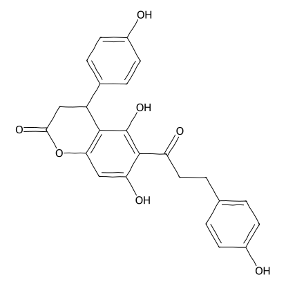 O=C1CC(c2ccc(O)cc2)c2c(cc(O)c(C(=O)CCc3ccc(O)cc3)c2O)O1